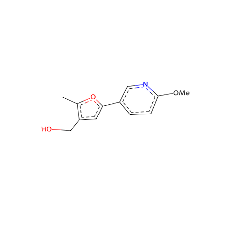 COc1ccc(-c2cc(CO)c(C)o2)cn1